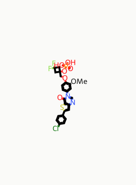 COc1cc(-n2cnc3cc(-c4ccc(Cl)cc4)sc3c2=O)ccc1OCC1(OP(=O)(O)O)CC(F)(F)C1